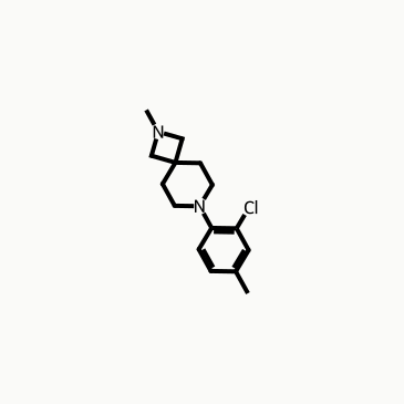 Cc1ccc(N2CCC3(CC2)CN(C)C3)c(Cl)c1